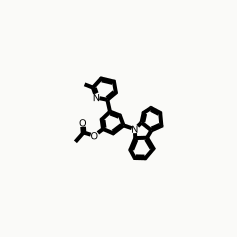 CC(=O)Oc1cc(-c2cccc(C)n2)cc(-n2c3ccccc3c3ccccc32)c1